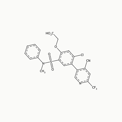 CN(c1ccccc1)S(=O)(=O)c1cc(-c2cnc(C(F)(F)F)cc2C#N)c(Cl)cc1OCC(=O)O